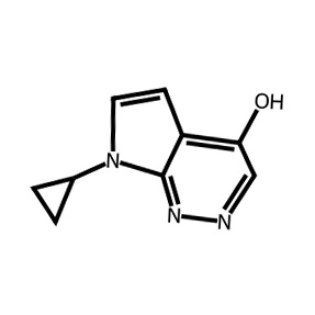 Oc1cnnc2c1ccn2C1CC1